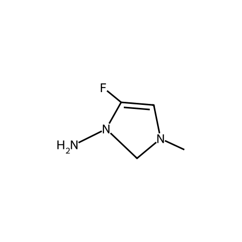 CN1C=C(F)N(N)C1